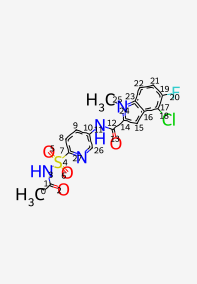 CC(=O)NS(=O)(=O)c1ccc(NC(=O)c2cc3c(Cl)c(F)ccc3n2C)cn1